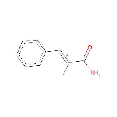 BC(=O)/C(C)=C/c1ccccc1